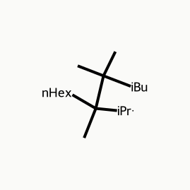 CCCCCCC(C)([C](C)C)C(C)(C)C(C)CC